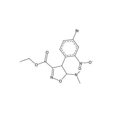 CCOC(=O)C1=NOC(N(C)C)C1c1ccc(Br)cc1[N+](=O)[O-]